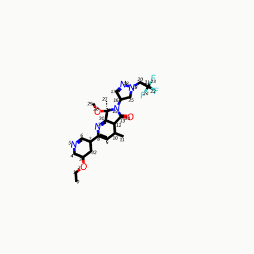 CCOC1CN=CC(C2=CC(C)C3C(=O)N(C4C=NN(CC(F)(F)F)C4)[C@](C)(OC)C3=N2)C1